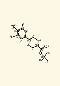 Cc1cc(N2CCN(C(=O)OC(C)(C)C)CC2)cc(C)c1Cl